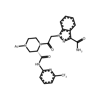 CC(=O)N1CCN(C(=O)Cn2nc(C(N)=O)c3ccccc32)[C@H](C(=O)Nc2cccc(C(F)(F)F)n2)C1